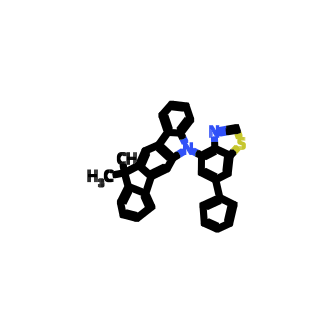 CC1(C)c2ccccc2-c2cc3c(cc21)c1ccccc1n3-c1cc(-c2ccccc2)cc2scnc12